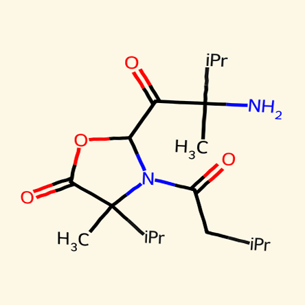 CC(C)CC(=O)N1C(C(=O)C(C)(N)C(C)C)OC(=O)C1(C)C(C)C